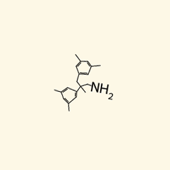 Cc1cc(C)cc(CC(C)(CN)c2cc(C)cc(C)c2)c1